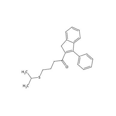 CC(C)SCCCC(=O)C1=C(c2ccccc2)c2ccccc2C1